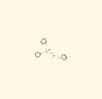 O=C(COP(=O)(OCc1ccccc1)OCc1ccccc1)OCc1ccccc1